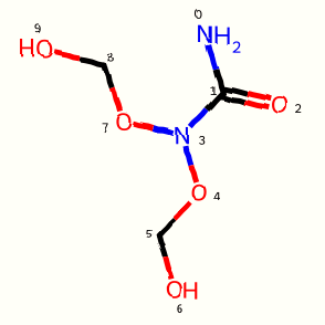 NC(=O)N(OCO)OCO